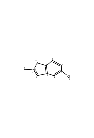 C[n+]1cc2cc(Cl)ccc2[se]1